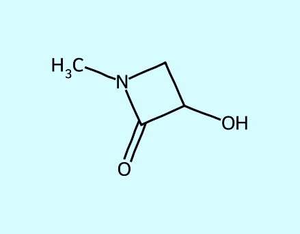 CN1CC(O)C1=O